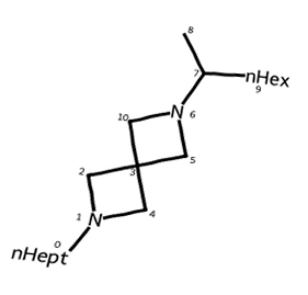 CCCCCCCN1CC2(C1)CN(C(C)CCCCCC)C2